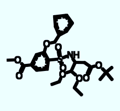 CCOC(OCC)C(CC(=O)OC(C)(C)C)NS(=O)(=O)c1ccc(C(=O)OC)cc1OCc1ccccc1